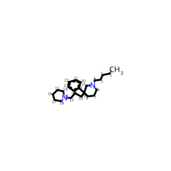 CCCCCN1CCCC(CCCN2CCCCC2)(c2ccccc2)C1